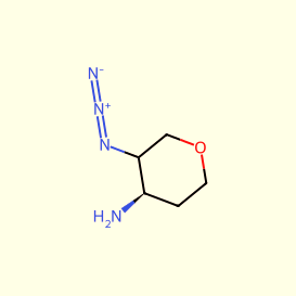 [N-]=[N+]=NC1COCC[C@H]1N